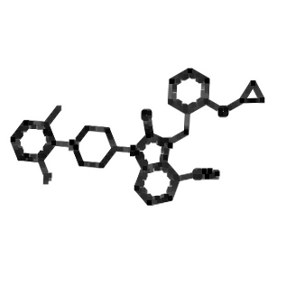 COc1cccc2c1n(Cc1ccccc1OC1CC1)c(=O)n2C1CCN(c2c(C)cccc2F)CC1